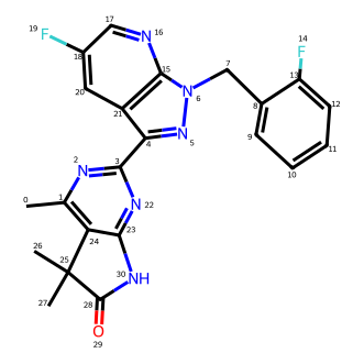 Cc1nc(-c2nn(Cc3ccccc3F)c3ncc(F)cc23)nc2c1C(C)(C)C(=O)N2